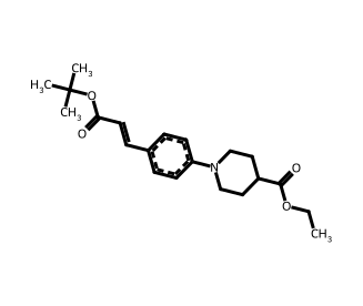 CCOC(=O)C1CCN(c2ccc(/C=C/C(=O)OC(C)(C)C)cc2)CC1